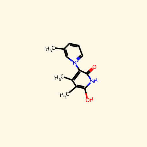 Cc1ccc[n+](-c2c(C)c(C)c(O)[nH]c2=O)c1